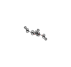 O=C(CCCCC(=O)Oc1ccc2c(=O)c(OC(=O)CCCCC(=O)OCc3ccccc3)c(-c3ccccc3)oc2c1)OCc1ccccc1